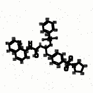 C[Si](C)(CC(CC(=O)Nc1cccc2cccnc12)Cc1ccc(S(=O)(=O)N2CCCC2)cc1)c1ccccc1